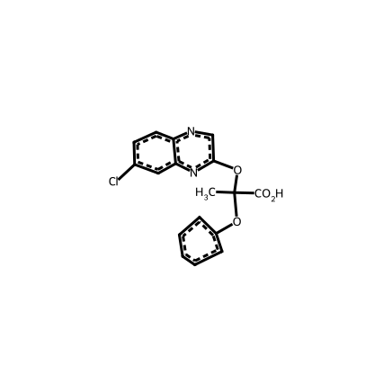 CC(Oc1ccccc1)(Oc1cnc2ccc(Cl)cc2n1)C(=O)O